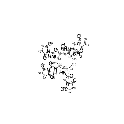 CC1(NC(=O)CN2C(=O)C=CC2=O)CCCC(N)C(NC(=O)CN2C(=O)C=CC2=O)C(N)CC(NC(=O)N2C(=O)C=CC2=O)CC(NC(=O)N2C(=O)C=CC2=O)C1